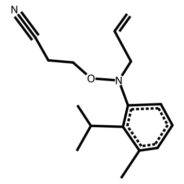 C=CCN(OCCC#N)c1cccc(C)c1C(C)C